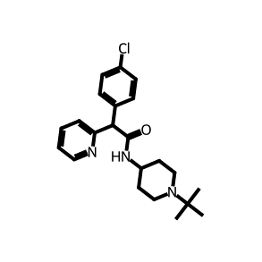 CC(C)(C)N1CCC(NC(=O)C(c2ccc(Cl)cc2)c2ccccn2)CC1